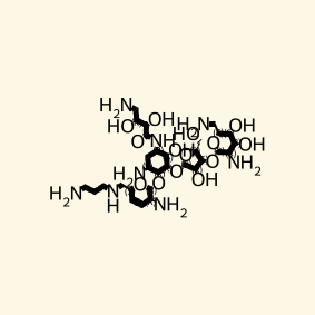 NCCCNC[C@@H]1C=C[C@@H](N)[C@@H](O[C@H]2[C@H](O[C@@H]3O[C@H](CO)[C@@H](O[C@H]4O[C@@H](CN)[C@@H](O)[C@H](O)[C@H]4N)[C@H]3O)[C@@H](O)[C@H](NC(=O)C(O)[C@H](O)CN)C[C@@H]2N)O1